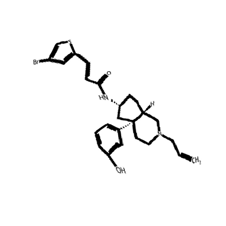 C=CCN1CC[C@@]2(c3cccc(O)c3)C[C@H](NC(=O)/C=C/c3cc(Br)cs3)CC[C@@H]2C1